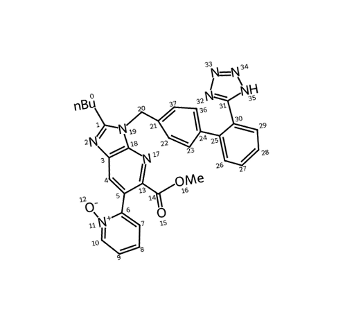 CCCCc1nc2cc(-c3cccc[n+]3[O-])c(C(=O)OC)nc2n1Cc1ccc(-c2ccccc2-c2nnn[nH]2)cc1